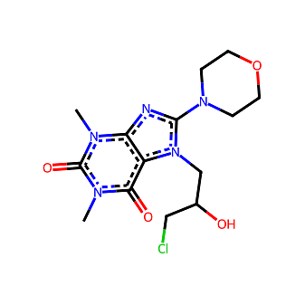 Cn1c(=O)c2c(nc(N3CCOCC3)n2CC(O)CCl)n(C)c1=O